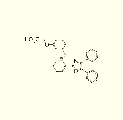 O=C(O)COc1cccc(C[C@H]2CCCC=C2c2nc(-c3ccccc3)c(-c3ccccc3)o2)c1